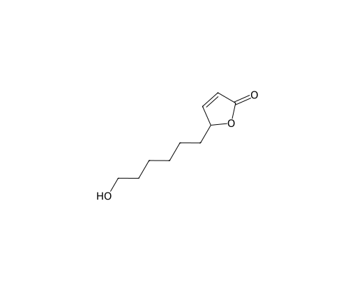 O=C1C=CC(CCCCCCO)O1